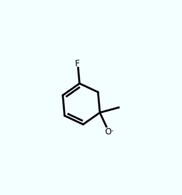 CC1([O])C=CC=C(F)C1